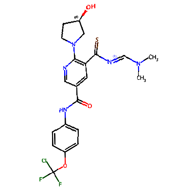 CN(C)/C=N/C(=S)c1cc(C(=O)Nc2ccc(OC(F)(F)Cl)cc2)cnc1N1CC[C@@H](O)C1